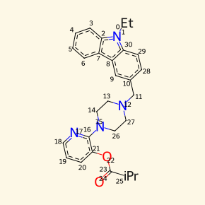 CCn1c2ccccc2c2cc(CN3CCN(c4ncccc4OC(=O)C(C)C)CC3)ccc21